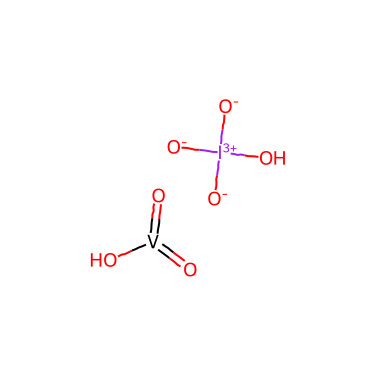 [O-][I+3]([O-])([O-])O.[O]=[V](=[O])[OH]